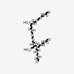 O=C(O)CCC(NC(=O)COCCOCCNC(=O)CC[C@@H](NC(=O)COCCOCCNC(=O)CBr)C(=O)O)C(=O)N(CC(=O)NCCNC(=O)CCl)CC(=O)NCCNC(=O)CCl